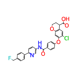 O=C(Nc1ccc(-c2ccc(CF)cc2)nc1)c1ccc(Oc2cc3c(cc2Cl)C(C(=O)O)CCO3)cc1